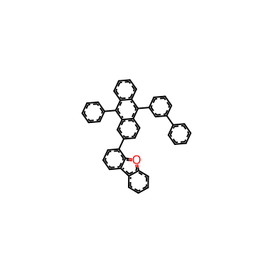 c1ccc(-c2cccc(-c3c4ccccc4c(-c4ccccc4)c4cc(-c5cccc6c5oc5ccccc56)ccc34)c2)cc1